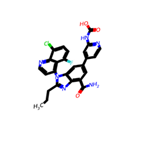 CCCc1nc2c(C(N)=O)cc(-c3ccnc(NC(=O)O)c3)cc2n1-c1ccnc2c(Cl)ccc(F)c12